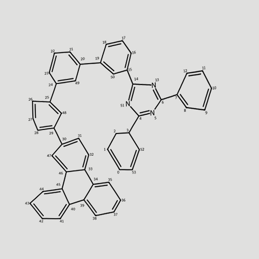 C1=CCC(c2nc(-c3ccccc3)nc(-c3cccc(-c4cccc(-c5cccc(-c6ccc7c8ccccc8c8ccccc8c7c6)c5)c4)c3)n2)C=C1